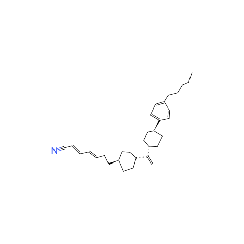 C=C([C@H]1CC[C@H](CC/C=C/C=C/C#N)CC1)[C@H]1CC[C@H](c2ccc(CCCCC)cc2)CC1